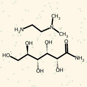 CN(C)CCN.NC(=O)[C@H](O)[C@@H](O)[C@H](O)[C@H](O)CO